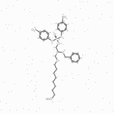 CCCCCCCCCCCCCCCCCCOC[C@@H](COP(=O)(Oc1ccc([N+](=O)[O-])cc1)Oc1ccc([N+](=O)[O-])cc1)OCc1ccccc1